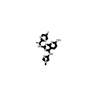 C[C@H](Nc1nc(Nc2cn(C)cn2)c2ccc(O)nc2n1)c1ncc(F)cn1